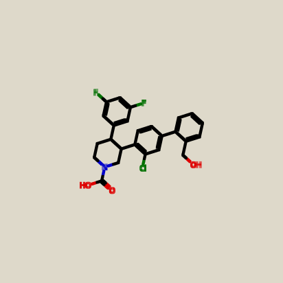 O=C(O)N1CCC(c2cc(F)cc(F)c2)C(c2ccc(-c3ccccc3CO)cc2Cl)C1